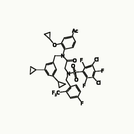 CC(=O)c1ccc(N(Cc2cc(C3CC3)cc(C3CC3)c2)C(=O)CN(Cc2ccc(F)cc2C(F)(F)F)S(=O)(=O)c2c(F)c(Cl)c(F)c(Cl)c2F)c(OC2CC2)c1